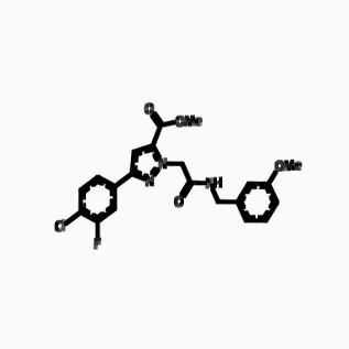 COC(=O)c1cc(-c2ccc(Cl)c(F)c2)nn1CC(=O)NCc1cccc(OC)c1